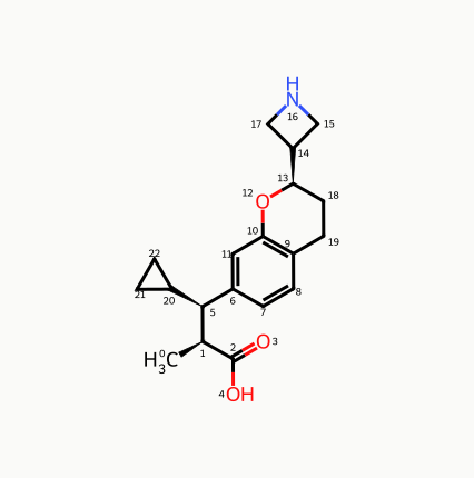 C[C@H](C(=O)O)[C@H](c1ccc2c(c1)O[C@@H](C1CNC1)CC2)C1CC1